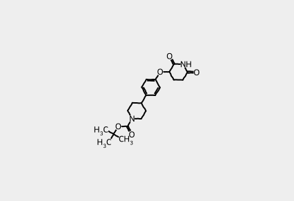 CC(C)(C)OC(=O)N1CCC(c2ccc(OC3CCC(=O)NC3=O)cc2)CC1